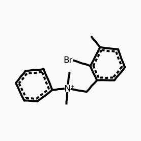 Cc1cccc(C[N+](C)(C)c2ccccc2)c1Br